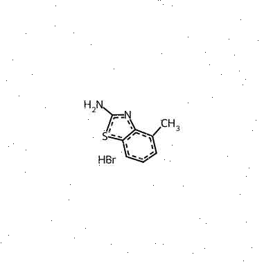 Br.Cc1cccc2sc(N)nc12